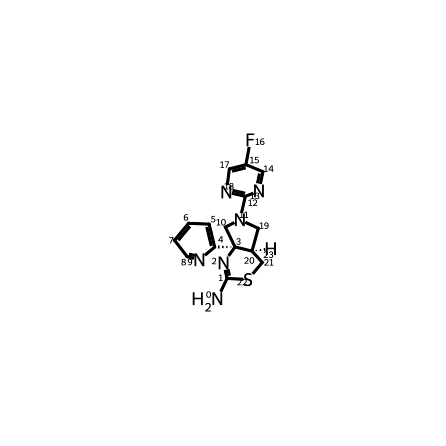 NC1=N[C@@]2(c3ccccn3)CN(c3ncc(F)cn3)C[C@H]2CS1